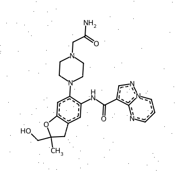 CC1(CO)Cc2cc(NC(=O)c3cnn4cccnc34)c(N3CCN(CC(N)=O)CC3)cc2O1